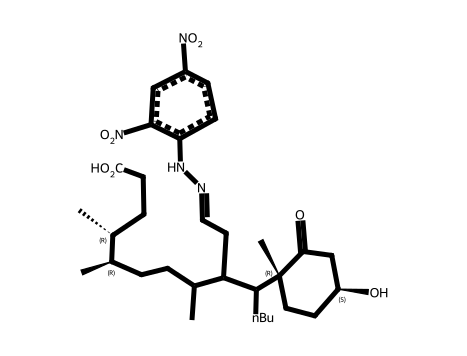 CCCCC(C(CC=NNc1ccc([N+](=O)[O-])cc1[N+](=O)[O-])C(C)CC[C@@H](C)[C@H](C)CCC(=O)O)[C@@]1(C)CC[C@H](O)CC1=O